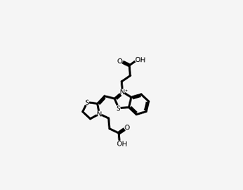 O=C(O)CCN1CCSC1=Cc1sc2ccccc2[n+]1CCC(=O)O